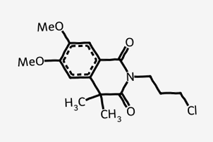 COc1cc2c(cc1OC)C(C)(C)C(=O)N(CCCCl)C2=O